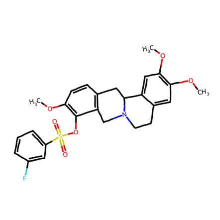 COc1cc2c(cc1OC)C1Cc3ccc(OC)c(OS(=O)(=O)c4cccc(F)c4)c3CN1CC2